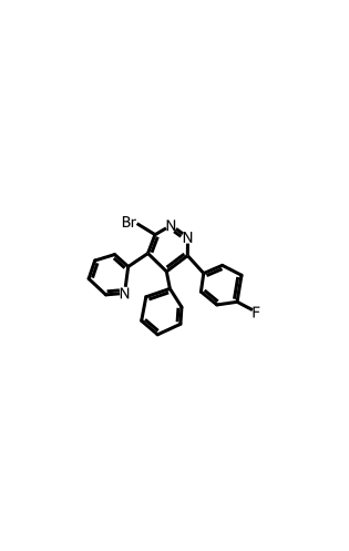 Fc1ccc(-c2nnc(Br)c(-c3ccccn3)c2-c2ccccc2)cc1